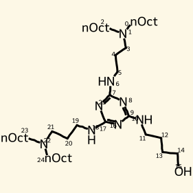 CCCCCCCCN(CCCCCCCC)CCCNc1nc(NCCCCO)nc(NCCCN(CCCCCCCC)CCCCCCCC)n1